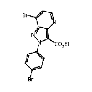 CCOC(=O)c1c2nccc(Br)c2nn1-c1ccc(Br)cc1